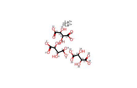 O=C([O-])C(O)C(O)C(=O)[O-].O=C([O-])C(O)C(O)C(=O)[O-].O=C([O-])C(O)C(O)C(=O)[O-].[La+3].[La+3]